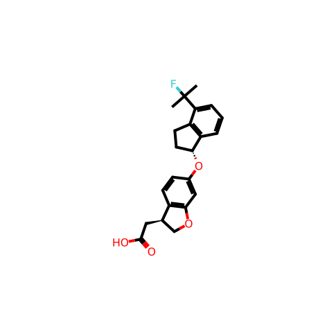 CC(C)(F)c1cccc2c1CC[C@H]2Oc1ccc2c(c1)OC[C@H]2CC(=O)O